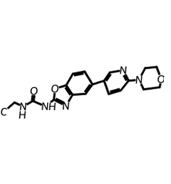 CCNC(=O)Nc1nc2cc(-c3ccc(N4CCOCC4)nc3)ccc2o1